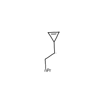 CCCC[CH]C1C=C1